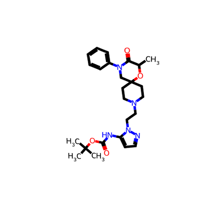 CC1OC2(CCN(CCn3nccc3NC(=O)OC(C)(C)C)CC2)CN(c2ccccc2)C1=O